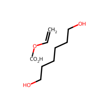 C=COC(=O)O.OCCCCCCO